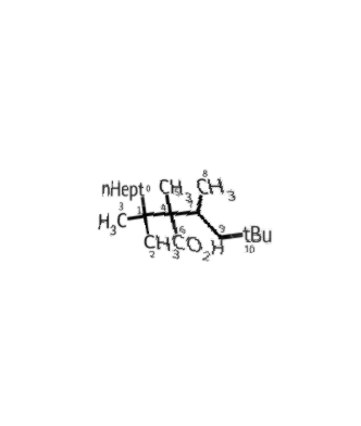 CCCCCCCC(C)(C)C(C)(C(=O)O)C(C)CC(C)(C)C